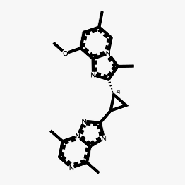 COc1cc(C)cn2c(C)c([C@@H]3CC3c3nc4c(C)ncc(C)n4n3)nc12